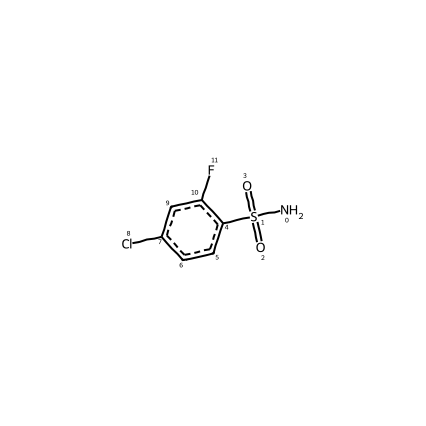 NS(=O)(=O)c1c[c]c(Cl)cc1F